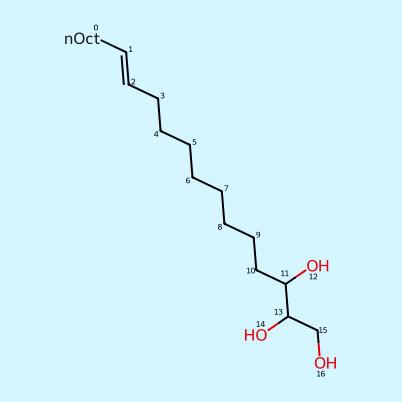 CCCCCCCCC=CCCCCCCCCC(O)C(O)CO